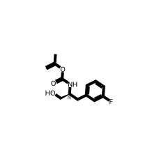 C=C(C)OC(=O)N[C@H](CO)Cc1cccc(F)c1